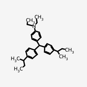 CCC(C)c1ccc(C(c2ccc(C(C)CC)cc2)c2ccc(N(CC)CC)cc2)cc1